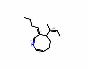 C/C=C(/C)C1CC\C=C/N=C\C1=C/CCC